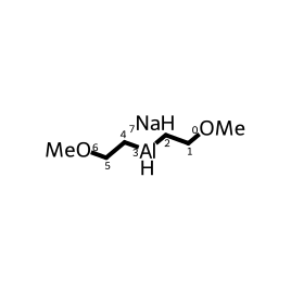 COC[CH2][AlH][CH2]COC.[NaH]